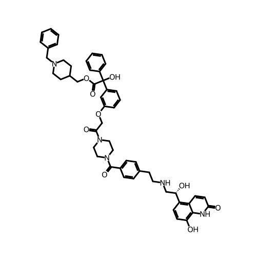 O=C(COc1cccc(C(O)(C(=O)OCC2CCN(Cc3ccccc3)CC2)c2ccccc2)c1)N1CCN(C(=O)c2ccc(CCNC[C@H](O)c3ccc(O)c4[nH]c(=O)ccc34)cc2)CC1